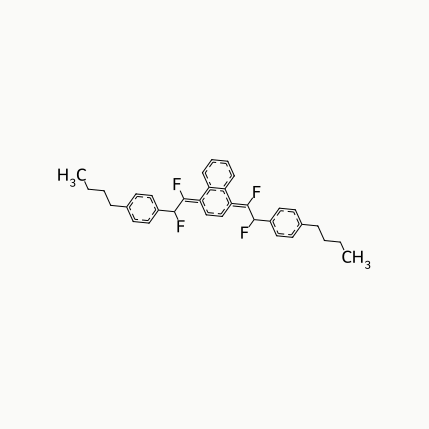 CCCCc1ccc(C(F)C(F)=c2ccc(=C(F)C(F)c3ccc(CCCC)cc3)c3ccccc23)cc1